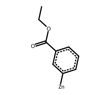 CCOC(=O)c1ccc[c]([Zn])c1